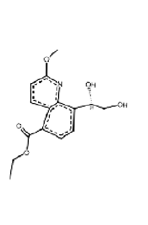 CCOC(=O)c1ccc([C@H](O)CO)c2nc(OC)ccc12